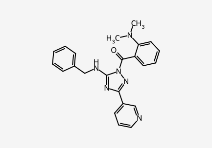 CN(C)c1ccccc1C(=O)n1nc(-c2cccnc2)nc1NCc1ccccc1